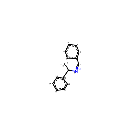 CC(/N=C\c1ccccc1)c1ccccc1